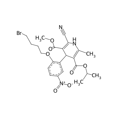 COC(=O)C1=C(C#N)NC(C)=C(C(=O)OC(C)C)C1c1cc([N+](=O)[O-])ccc1OCCCCBr